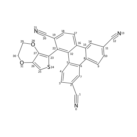 N#Cc1ccc2c(c1)c1ccc(C#N)cc1c1ccc(C#N)c(-c3scc4c3OCCO4)c21